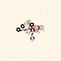 CC1=C(C(=O)OCCN(Cc2ccccc2)c2ccccc2)C(c2cccc([N+](=O)[O-])c2)C(P2(=O)OCC(C)(C)CO2)=C(C)N1CCN1CCOCC1.Cl.Cl